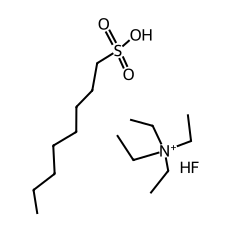 CCCCCCCCS(=O)(=O)O.CC[N+](CC)(CC)CC.F